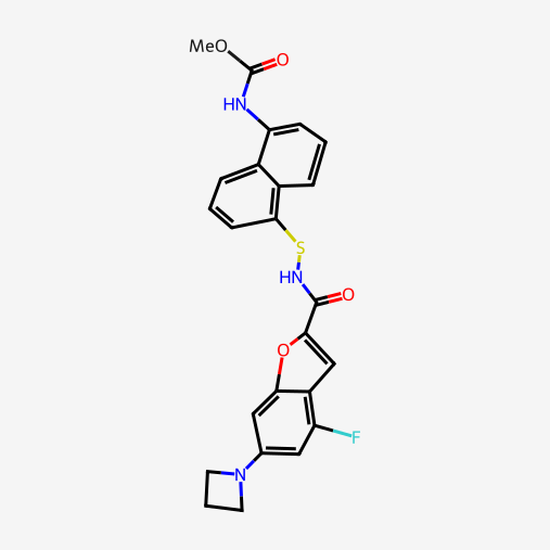 COC(=O)Nc1cccc2c(SNC(=O)c3cc4c(F)cc(N5CCC5)cc4o3)cccc12